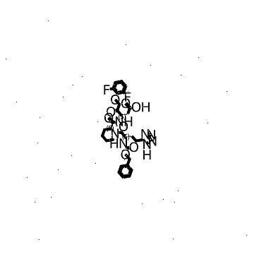 O=C(O)C[C@H](NC(=O)[C@@H]1CCCCN1C(=O)[C@H](CCc1nnn[nH]1)NC(=O)OCc1ccccc1)C(=O)COc1c(F)cccc1F